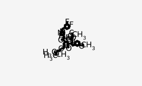 COc1ccc2c(c1)cc(-c1cc(C(=O)Nc3cnn(Cc4ccc(F)c(F)c4)c3)cn(COCC[Si](C)(C)C)c1=O)n2C(=O)OC(C)(C)C